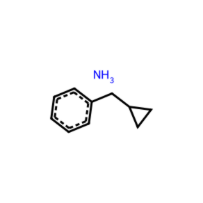 N.c1ccc(CC2CC2)cc1